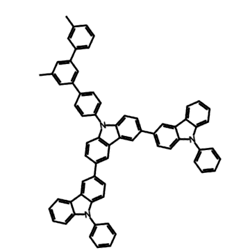 Cc1cccc(-c2cc(C)cc(-c3ccc(-n4c5ccc(-c6ccc7c(c6)c6ccccc6n7-c6ccccc6)cc5c5cc(-c6ccc7c(c6)c6ccccc6n7-c6ccccc6)ccc54)cc3)c2)c1